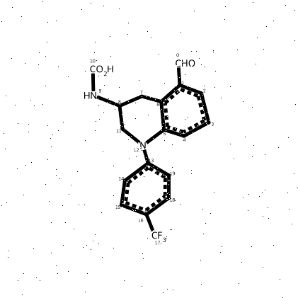 O=Cc1cccc2c1CC(NC(=O)O)CN2c1ccc(C(F)(F)F)cc1